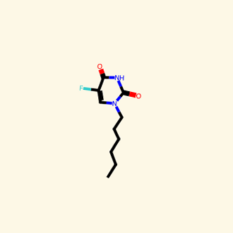 CCCCCCn1cc(F)c(=O)[nH]c1=O